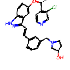 C[C@@H](Oc1ccc2[nH]nc(/C=C/c3cccc(CN4CCC(O)C4)c3)c2c1)c1ccncc1Cl